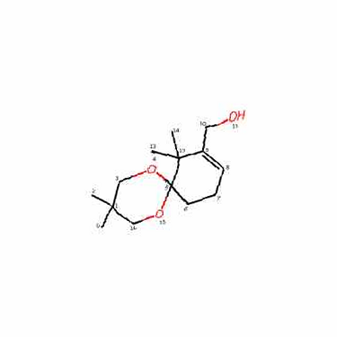 CC1(C)COC2(CCC=C(CO)C2(C)C)OC1